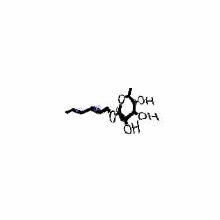 C/C=C/C=C/CO[C@@H]1OC(C)[C@H](O)C(O)C1O